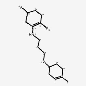 CC1=CCC(OCCCNC2=C(F)CCC(F)C2)CC1